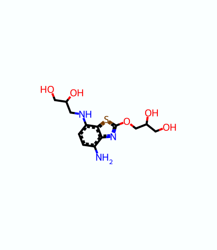 Nc1ccc(NCC(O)CO)c2sc(OCC(O)CO)nc12